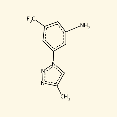 Cc1cn(-c2cc(N)cc(C(F)(F)F)c2)nn1